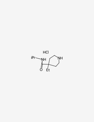 CCC1(C(=O)NC(C)C)CCNCC1.Cl